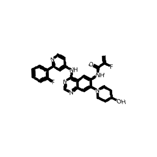 C=C(F)C(=O)Nc1cc2c(Nc3ccnc(-c4ccccc4F)c3)ncnc2cc1N1CCC(O)CC1